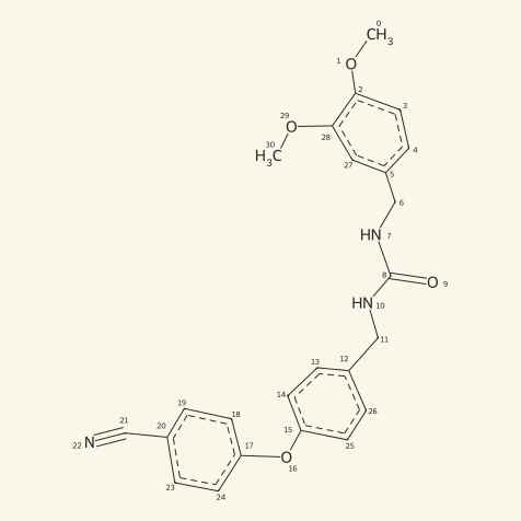 COc1ccc(CNC(=O)NCc2ccc(Oc3ccc(C#N)cc3)cc2)cc1OC